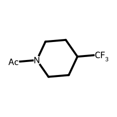 CC(=O)N1CCC(C(F)(F)F)CC1